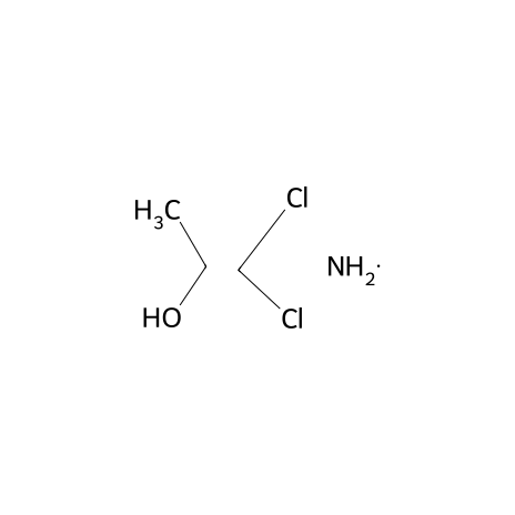 CCO.ClCCl.[NH2]